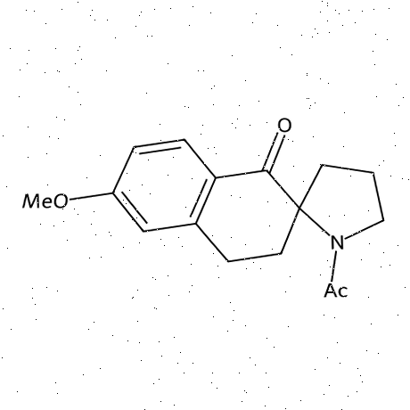 COc1ccc2c(c1)CCC1(CCCN1C(C)=O)C2=O